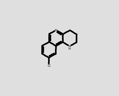 Clc1ccc2cnc3c(c2c1)NCCC3